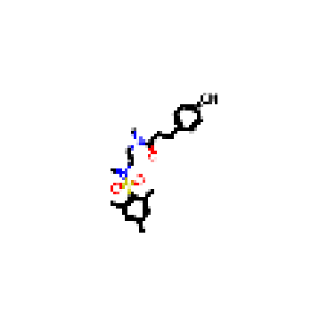 Cc1cc(C)c(S(=O)(=O)N(C)CCN(C)C(=O)CCc2ccc(C#N)cc2)c(C)c1